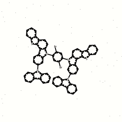 Brc1cc(-n2c3cc(-n4c5ccccc5c5ccccc54)ccc3c3c4sc5ccccc5c4ccc32)c(Br)cc1-n1c2cc(-n3c4ccccc4c4ccccc43)ccc2c2c3sc4ccccc4c3ccc21